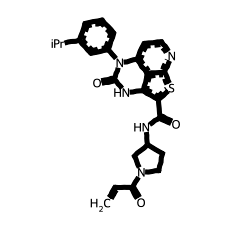 C=CC(=O)N1CCC(NC(=O)c2sc3nccc4c3c2NC(=O)N4c2cccc(C(C)C)c2)C1